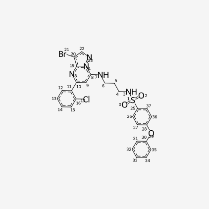 O=S(=O)(NCCCNc1cc(-c2ccccc2Cl)nc2c(Br)cnn12)c1ccc(Oc2ccccc2)cc1